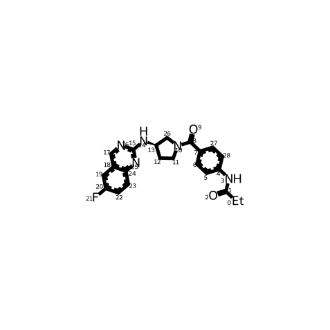 CCC(=O)Nc1ccc(C(=O)N2CC[C@@H](Nc3ncc4cc(F)ccc4n3)C2)cc1